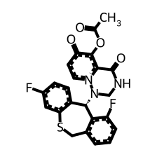 CC(=O)Oc1c2n(ccc1=O)N([C@H]1c3ccc(F)cc3SCc3cccc(F)c31)CNC2=O